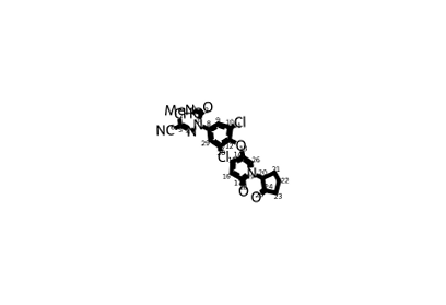 CNC(=O)N(/N=C(/C#N)C=O)c1cc(Cl)c(Oc2ccc(=O)n(C3CCCC3=O)c2)c(Cl)c1